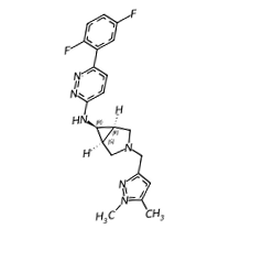 Cc1cc(CN2C[C@@H]3[C@H](C2)[C@@H]3Nc2ccc(-c3cc(F)ccc3F)nn2)nn1C